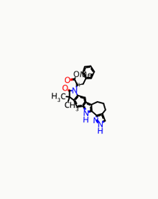 COC(=O)[C@@H](Cc1ccccc1)N1C(=O)C(C)(C)c2cc3[nH]c4c(c3cc21)CCCc1c[nH]nc1-4